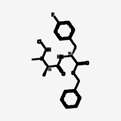 C[C@H](C(=O)N[C@H](Cc1ccc(F)cc1)C(=O)OCc1ccccc1)N(C)NCl